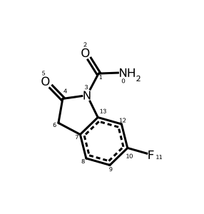 NC(=O)N1C(=O)Cc2ccc(F)cc21